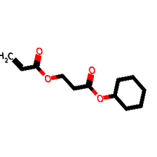 C=CC(=O)OCCC(=O)OC1CCCCC1